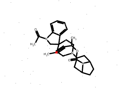 CC#CC(C)OC(=O)N1C2CCC1CC(N1CCC3(CC1)CN(C(C)=O)c1ccccc13)C2